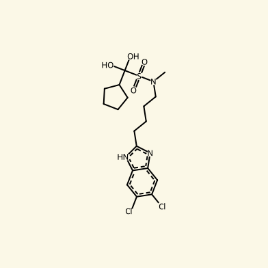 CN(CCCCc1nc2cc(Cl)c(Cl)cc2[nH]1)S(=O)(=O)C(O)(O)C1CCCC1